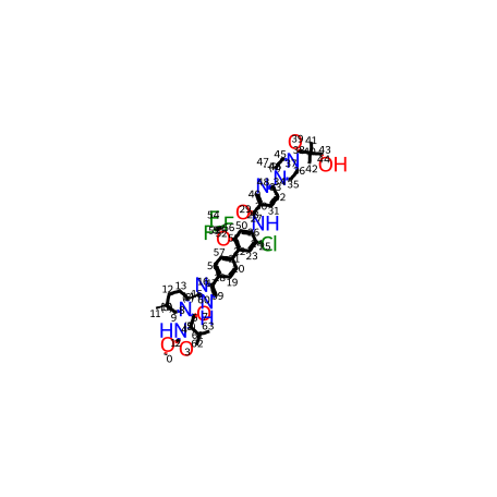 COC(=O)N[C@H](C(=O)N1C[C@@H](C)CC[C@H]1c1nc(-c2ccc(-c3cc(Cl)c(NC(=O)c4ccc(N5CCN(C(=O)C(C)(C)CO)C[C@H]5C)nc4)cc3OC(F)(F)F)cc2)c[nH]1)C(C)C